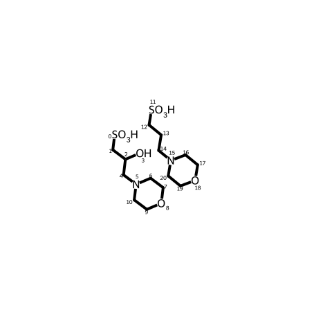 O=S(=O)(O)CC(O)CN1CCOCC1.O=S(=O)(O)CCCN1CCOCC1